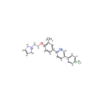 Cc1cc(-c2ccc(-c3ccc(Cl)cc3)cn2)ccc1OCCN1CC=CC1